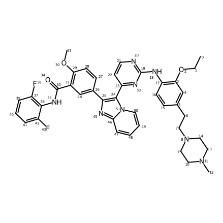 CCOc1cc(CCN2CCN(C)CC2)ccc1Nc1nccc(-c2c(-c3ccc(OC)c(C(=O)Nc4c(F)cccc4F)c3)nc3ccccn23)n1